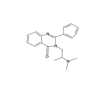 CC(Cn1c(-c2ccccc2)nc2ccccc2c1=O)N(C)C